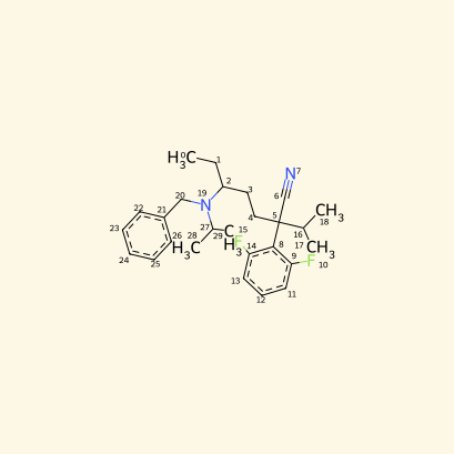 CCC(CCC(C#N)(c1c(F)cccc1F)C(C)C)N(Cc1ccccc1)C(C)C